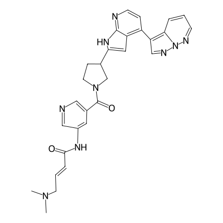 CN(C)C/C=C/C(=O)Nc1cncc(C(=O)N2CCC(c3cc4c(-c5cnn6ncccc56)ccnc4[nH]3)C2)c1